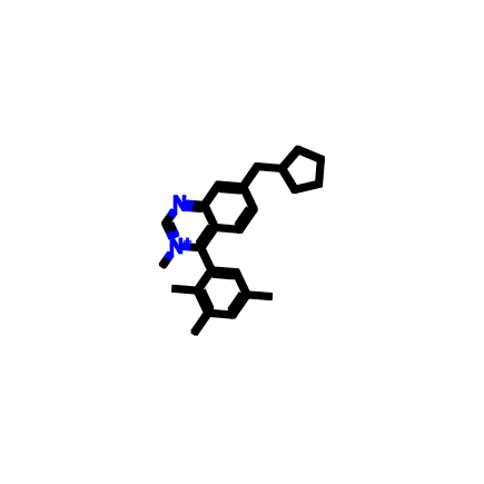 Cc1cc(C)c(C)c(-c2c3ccc(CC4CCCC4)cc3nc[n+]2C)c1